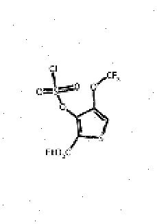 CCOC(=O)c1scc(OC(F)(F)F)c1OS(=O)(=O)Cl